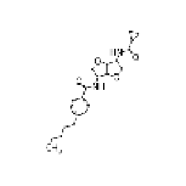 CCCCCc1ccc(C(=O)NC2COC3C(NC(=O)C4CC4)COC23)cc1